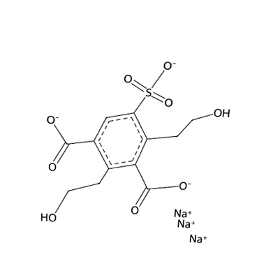 O=C([O-])c1cc(S(=O)(=O)[O-])c(CCO)c(C(=O)[O-])c1CCO.[Na+].[Na+].[Na+]